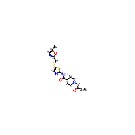 CC(C)(C)C(=O)CN1CCC(C(=O)Nc2ncc(SCc3ncc(C(C)(C)C)o3)s2)CC1